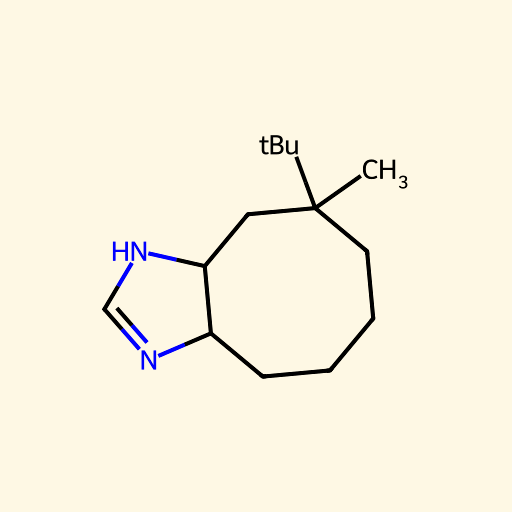 CC(C)(C)C1(C)CCCCC2N=CNC2C1